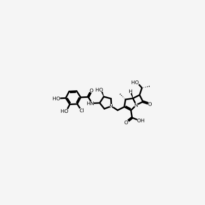 C[C@@H](O)C1C(=O)N2C(C(=O)O)=C(CN3CC(NC(=O)c4ccc(O)c(O)c4Cl)[C@@H](O)C3)[C@H](C)[C@H]12